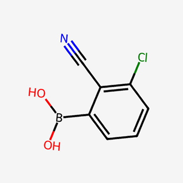 N#Cc1c(Cl)cccc1B(O)O